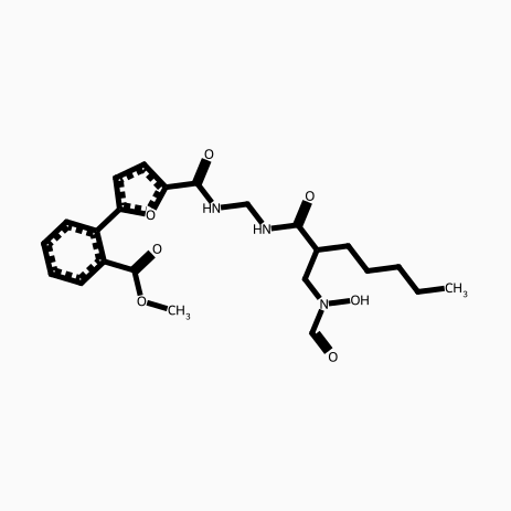 CCCCCC(CN(O)C=O)C(=O)NCNC(=O)c1ccc(-c2ccccc2C(=O)OC)o1